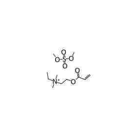 C=CC(=O)OCC[N+](C)(C)CC.COS(=O)(=O)OC